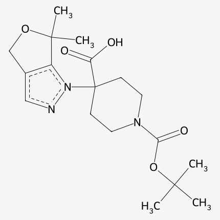 CC(C)(C)OC(=O)N1CCC(C(=O)O)(n2ncc3c2C(C)(C)OC3)CC1